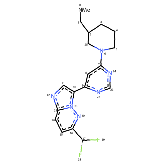 CNCC1CCCN(c2cc(-c3cnc4ccc(C(F)F)nn34)ncn2)C1